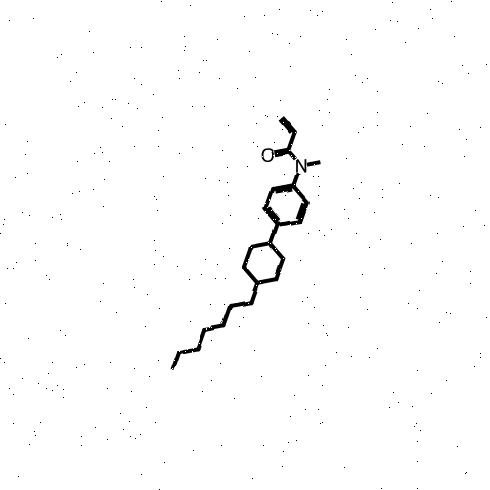 C=CC(=O)N(C)c1ccc(C2CCC(CCCCCCC)CC2)cc1